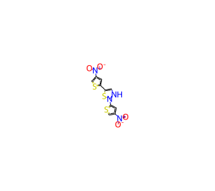 O=[N+]([O-])c1csc(C2=CNN(c3cc([N+](=O)[O-])cs3)S2)c1